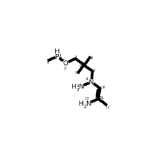 CPOCC(C)(C)CN(N)/C=C(/C)N